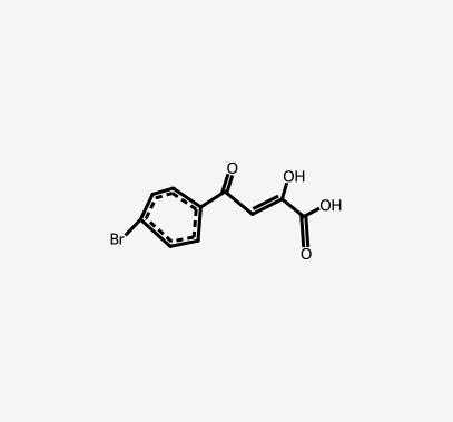 O=C(O)C(O)=CC(=O)c1ccc(Br)cc1